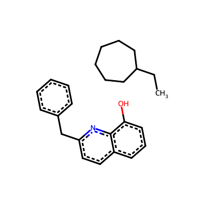 CCC1CCCCCC1.Oc1cccc2ccc(Cc3ccccc3)nc12